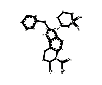 CC1CCc2c(ccc3c2nc(Cc2ccccc2)n3[C@@H]2CCCS(=O)(=O)C2)N1C(=O)O